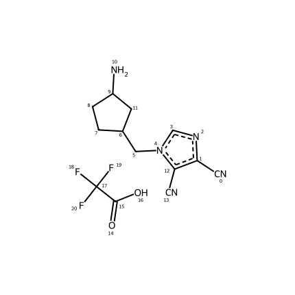 N#Cc1ncn(CC2CCC(N)C2)c1C#N.O=C(O)C(F)(F)F